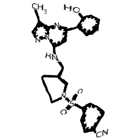 Cc1cnn2c(NCC3CCCN(S(=O)(=O)c4ccc(C#N)cc4)C3)cc(-c3ccccc3O)nc12